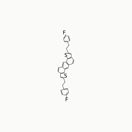 Fc1ccc(CCc2cc3ccc4cc5c(ccc6cc(CCc7ccc(F)cc7)sc65)cc4c3s2)cc1